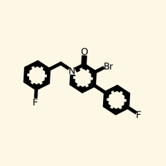 O=c1c(Br)c(-c2ccc(F)cc2)ccn1Cc1cccc(F)c1